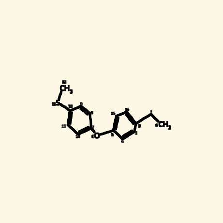 CCc1ccc(Oc2ccc(SC)cc2)cc1